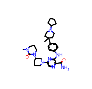 CN1CCCN([C@@H]2CCCN(c3cnc(C(N)=O)c(Nc4ccc(C5(C)CCN(C6CCCC6)CC5)cc4)n3)C2)C1=O